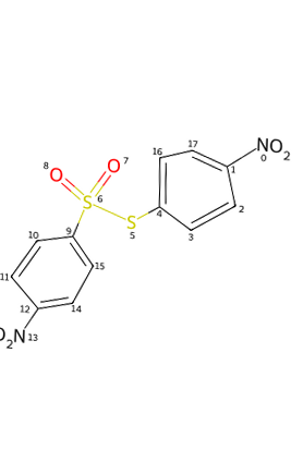 O=[N+]([O-])c1ccc(SS(=O)(=O)c2ccc([N+](=O)[O-])cc2)cc1